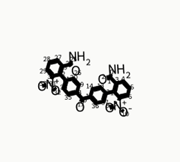 NC(=O)c1cccc([N+](=O)[O-])c1-c1ccc(C(=O)c2ccc(-c3c(C(N)=O)cccc3[N+](=O)[O-])cc2)cc1